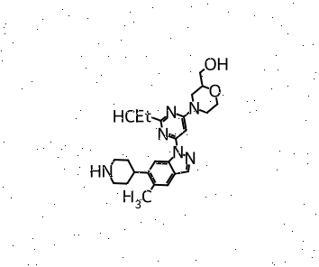 CCc1nc(N2CCOC(CO)C2)cc(-n2ncc3cc(C)c(C4CCNCC4)cc32)n1.Cl